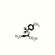 CC#CC(OS(=O)(=O)c1ccc(C)cc1)C(=O)O